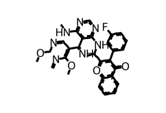 C=N/C(OC)=C(\C=N/COC)C(=N)c1c(NC)ncnc1NC(C)c1oc2ccccc2c(=O)c1-c1cccc(F)c1